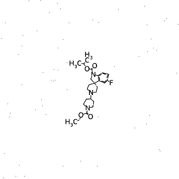 CCOC(=O)N1CCC(N2CCC3(CC2)CN(C(=O)OC(C)C)c2ccc(F)cc23)CC1